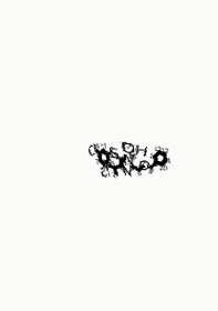 CC(C)c1nc(COCc2ccccc2)n(CO)c1Sc1cc(Cl)cc(Cl)c1